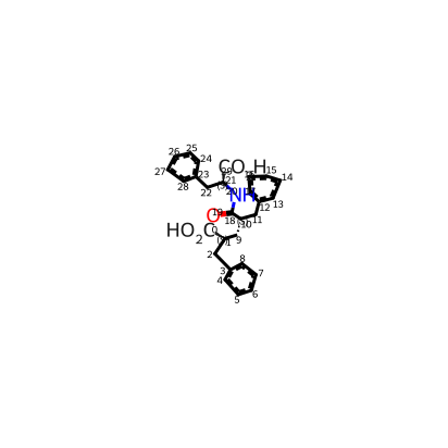 O=C(O)[C@H](Cc1ccccc1)C[C@@H](Cc1ccccc1)C(=O)N[C@@H](Cc1ccccc1)C(=O)O